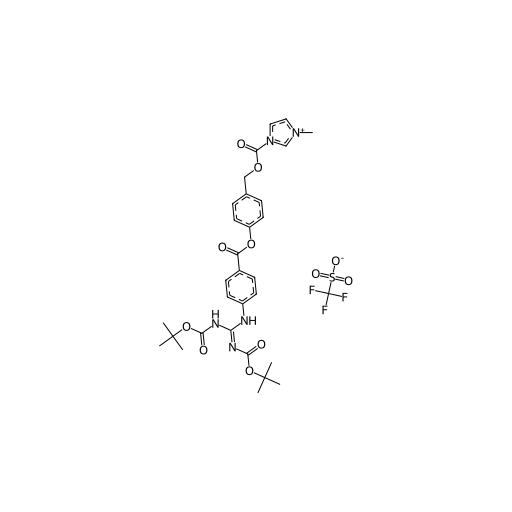 C[n+]1ccn(C(=O)OCc2ccc(OC(=O)c3ccc(N/C(=N\C(=O)OC(C)(C)C)NC(=O)OC(C)(C)C)cc3)cc2)c1.O=S(=O)([O-])C(F)(F)F